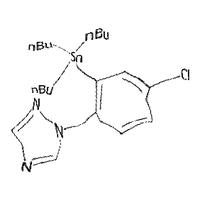 CCC[CH2][Sn]([CH2]CCC)([CH2]CCC)[c]1cc(Cl)ccc1-n1cncn1